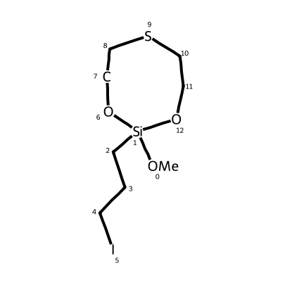 CO[Si]1(CCCI)OCCSCCO1